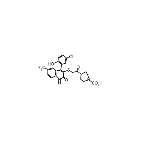 O=C(O)N1CCN(C(=O)CSc2c(-c3cc(Cl)ccc3O)c3cc(C(F)(F)F)ccc3[nH]c2=O)CC1